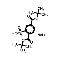 CC(C)(C)OC(=O)c1ccc(C(=O)OC(C)(C)C)c(S(=O)(=O)O)c1.[NaH]